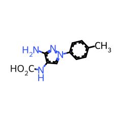 Cc1ccc(-n2cc(NC(=O)O)c(N)n2)cc1